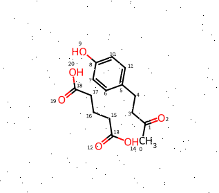 CC(=O)CCc1ccc(O)cc1.O=C(O)CCCC(=O)O